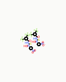 O=C(NC(=S)N(O)c1ccc([N+](=O)[O-])cc1)c1cc(C(F)(F)F)cc(C(F)(F)F)c1.O=C(NC(=S)N(O)c1cccc([N+](=O)[O-])c1)c1cc(C(F)(F)F)cc(C(F)(F)F)c1